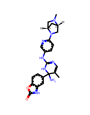 CC1=CN=C(Nc2ccc(N3C[C@@H]4C[C@H]3CN4C)nc2)NC1(N)c1ccc2oc(=O)[nH]c2c1